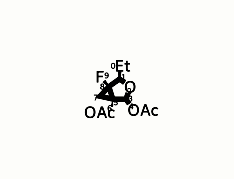 CC[C@H]1OC(OC(C)=O)[C@@]2(OC(C)=O)C[C@]12F